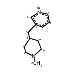 CN1CCC(Cc2cccnc2)CC1